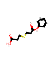 O=C(O)CCSCCC(=O)Oc1ccccc1